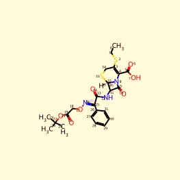 CCSC1=C(C(=O)O)N2C(=O)C(NC(=O)/C(=N/OCC(=O)OC(C)(C)C)c3ccccc3)[C@H]2SC1